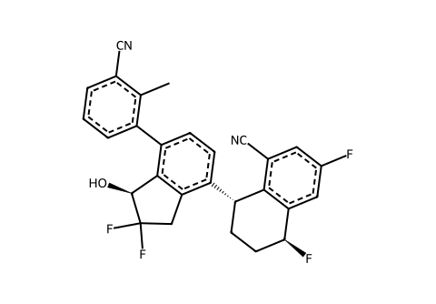 Cc1c(C#N)cccc1-c1ccc([C@H]2CC[C@H](F)c3cc(F)cc(C#N)c32)c2c1[C@H](O)C(F)(F)C2